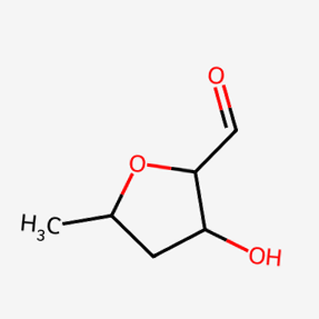 CC1CC(O)C(C=O)O1